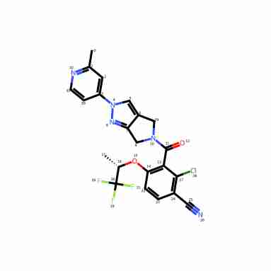 Cc1cc(-n2cc3c(n2)CN(C(=O)c2c(O[C@@H](C)C(F)(F)F)ccc(C#N)c2Cl)C3)ccn1